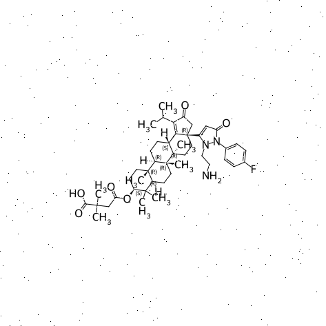 CC(C)C1=C2[C@H]3CC[C@@H]4[C@@]5(C)CC[C@H](OC(=O)CC(C)(C)C(=O)O)C(C)(C)[C@@H]5CC[C@@]4(C)[C@]3(C)CC[C@@]2(c2cc(=O)n(-c3ccc(F)cc3)n2CCN)CC1=O